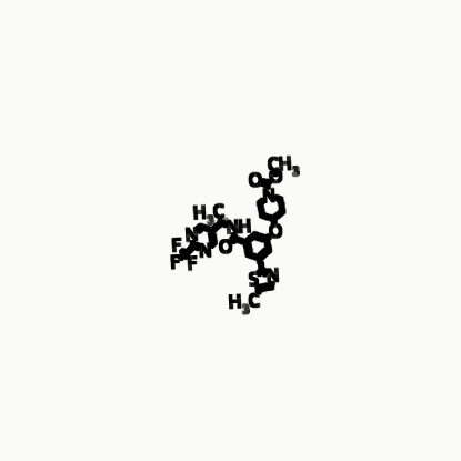 COC(=O)N1CCC(Oc2cc(C(=O)N[C@H](C)c3cnc(C(F)(F)F)nc3)cc(-c3ncc(C)s3)c2)CC1